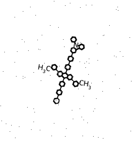 Cc1cccc(-c2ccc3c(-c4ccc(-c5ccc(-c6ccc7c(c6)c6ccccc6n7-c6ccccc6)cc5)cc4)c4cc(-c5cccc(C)c5)ccc4c(-c4ccc(-c5ccc(C6=CC=CCC6)cc5)cc4)c3c2)c1